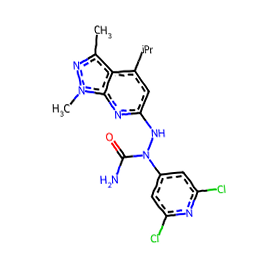 Cc1nn(C)c2nc(NN(C(N)=O)c3cc(Cl)nc(Cl)c3)cc(C(C)C)c12